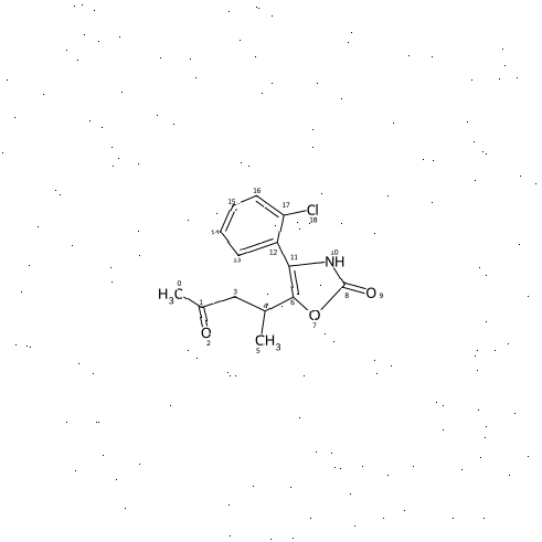 CC(=O)CC(C)c1oc(=O)[nH]c1-c1ccccc1Cl